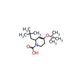 CC(C)(C)CC1C=C(O[Si](C)(C)C)CCN1C(=O)O